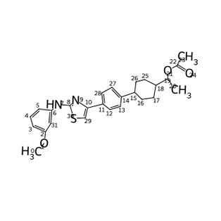 COc1cccc(Nc2nc(-c3ccc(C4CCC(C(C)OC(C)=O)CC4)cc3)cs2)c1